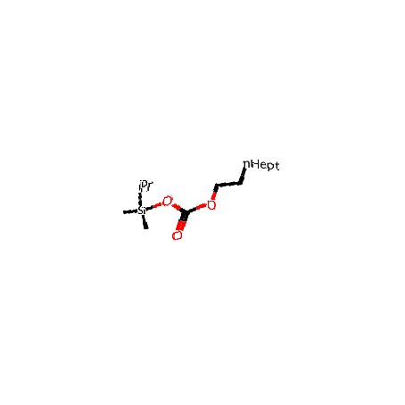 CCCCCCCCCOC(=O)O[Si](C)(C)C(C)C